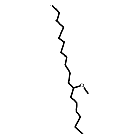 [CH2]CCCCCCCCCCC(CCCCCC)OC